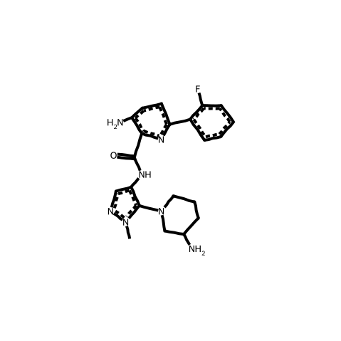 Cn1ncc(NC(=O)c2nc(-c3ccccc3F)ccc2N)c1N1CCCC(N)C1